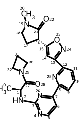 C[C@H](Nc1nccc(-c2cccc(-c3cc([C@@H]4CCN(C)C4=O)on3)n2)n1)C(=O)N1CCC1